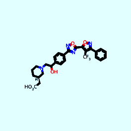 O=C(O)C[C@H]1CCCN(CC(O)c2ccc(-c3noc(-c4onc(-c5ccccc5)c4C(F)(F)F)n3)cc2)C1